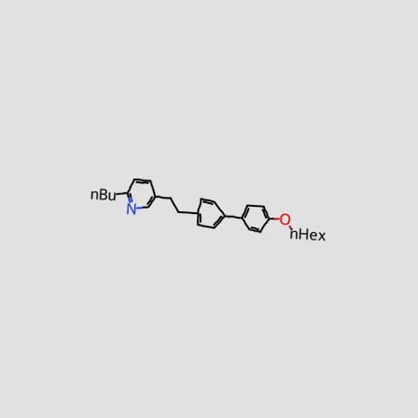 CCCCCCOc1ccc(-c2ccc(CCc3ccc(CCCC)nc3)cc2)cc1